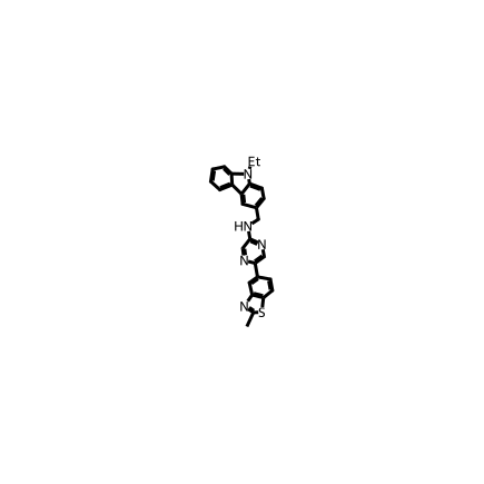 CCn1c2ccccc2c2cc(CNc3cnc(-c4ccc5sc(C)nc5c4)cn3)ccc21